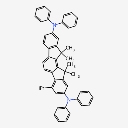 CC(C)c1cc(N(c2ccccc2)c2ccccc2)cc2c1-c1ccc3c(c1C2(C)C)C(C)(C)c1cc(N(c2ccccc2)c2ccccc2)ccc1-3